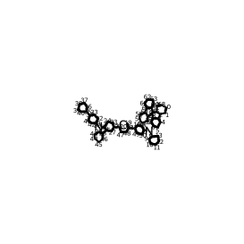 C1=CC2c3ccc(N(c4ccccc4)c4ccc(-c5ccc(-c6ccc7c(c6)c6c(n7-c7ccc(-c8ccccc8)cc7)=CCCC=6)cc5)cc4)cc3C3(C4=CCCC=C4c4ccccc43)C2C=C1